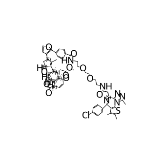 COC(=O)C[C@H]1[C@]2(C)C3=C(C)[C@H](c4ccoc4-c4ccc(C(=O)NCCOCCOCCNC(=O)C[C@@H]5N=C(c6ccc(Cl)cc6)c6c(sc(C)c6C)-n6c(C)nnc65)cc4)C[C@H]3O[C@@H]2[C@@H]2OC(=O)[C@]3(C)C=CC(=O)[C@@]1(C)[C@@H]23